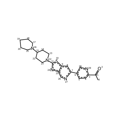 CC(=O)c1ccc(-c2cc3sc(N4CCC(N5CCCCC5)CC4)nc3cn2)cn1